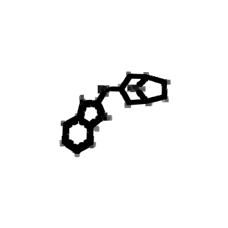 c1ccc2sc(NC3CC4CCC(C3)N4)nc2c1